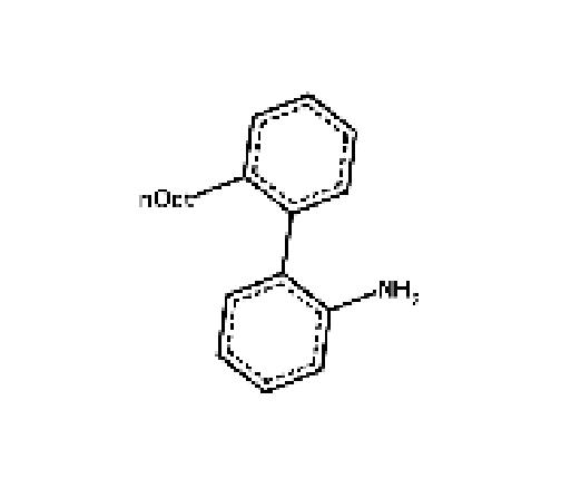 CCCCCCCCc1ccccc1-c1ccccc1N